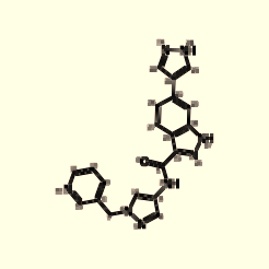 O=C(Nc1cnn(Cc2cccnc2)c1)c1n[nH]c2cc(-c3cn[nH]c3)ccc12